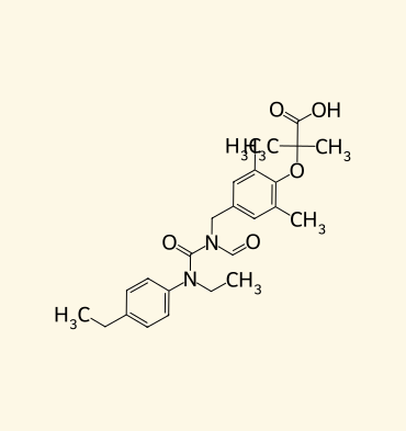 CCc1ccc(N(CC)C(=O)N(C=O)Cc2cc(C)c(OC(C)(C)C(=O)O)c(C)c2)cc1